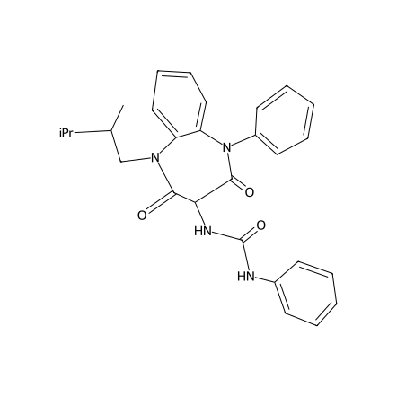 CC(C)C(C)CN1C(=O)C(NC(=O)Nc2ccccc2)C(=O)N(c2ccccc2)c2ccccc21